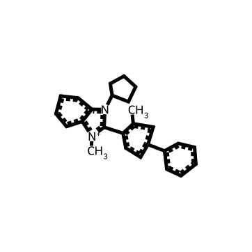 Cc1cc(-c2ccccc2)ccc1-c1n(C2CCCC2)c2ccccc2[n+]1C